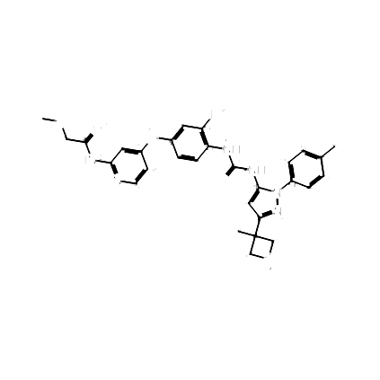 COCC(=O)Nc1cc(Oc2ccc(NC(=O)Nc3cc(C4(C)CSC4)nn3-c3ccc(C)cc3)c(F)c2)ccn1